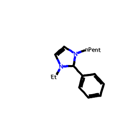 CCCCCN1C=CN(CC)C1c1ccccc1